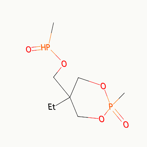 CCC1(CO[PH](C)=O)COP(C)(=O)OC1